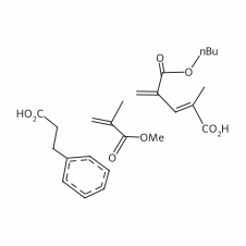 C=C(C)C(=O)OC.C=C(C=C(C)C(=O)O)C(=O)OCCCC.O=C(O)CCc1ccccc1